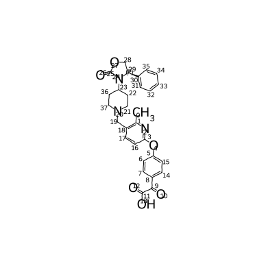 Cc1nc(Oc2ccc(C(=O)C(=O)O)cc2)ccc1CN1CCC(N2C(=O)OC[C@H]2c2ccccc2)CC1